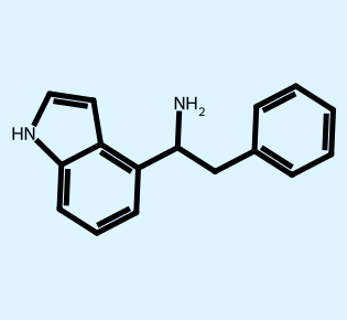 NC(Cc1ccccc1)c1cccc2[nH]ccc12